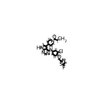 C=CC(=O)N1CCC(c2c[nH]c3ncnc(Nc4ccc(OCc5ncc(F)s5)c(Cl)c4)c23)CC1